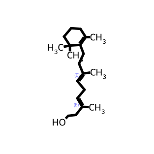 CC1=C(CC/C(C)=C/C/C=C(\C)CCO)C(C)(C)CCC1